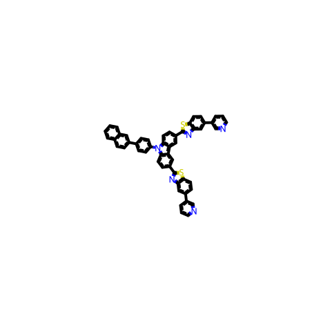 c1cncc(-c2ccc3sc(-c4ccc5c(c4)c4cc(-c6nc7cc(-c8cccnc8)ccc7s6)ccc4n5-c4ccc(-c5ccc6ccccc6c5)cc4)nc3c2)c1